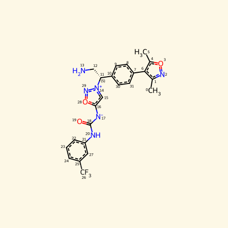 Cc1noc(C)c1-c1ccc([C@@H](CN)[n+]2cc([N-]C(=O)Nc3cccc(C(F)(F)F)c3)on2)cc1